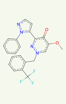 COc1cn(Cc2ccccc2C(F)(F)F)nc(-c2ccnn2-c2ccccc2)c1=O